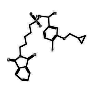 CC(C)C(NS(=O)(=O)CCCCCN1C(=O)c2ccccc2C1=O)c1ccc(F)c(OCC2CC2)c1